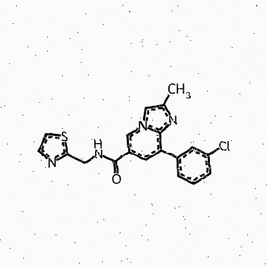 Cc1cn2cc(C(=O)NCc3nccs3)cc(-c3cccc(Cl)c3)c2n1